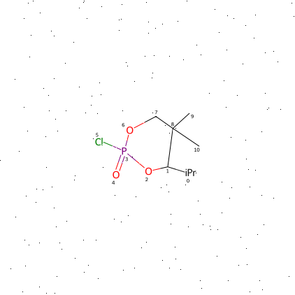 CC(C)C1OP(=O)(Cl)OCC1(C)C